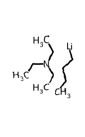 CCN(CC)CC.[Li][CH2]CCC